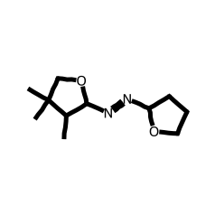 CC1C(N=NC2CCCO2)OCC1(C)C